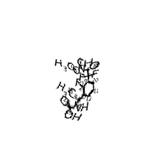 CON(C)C(=O)C(F)(F)c1cccc([C@@H](C)NC(=O)O)c1F